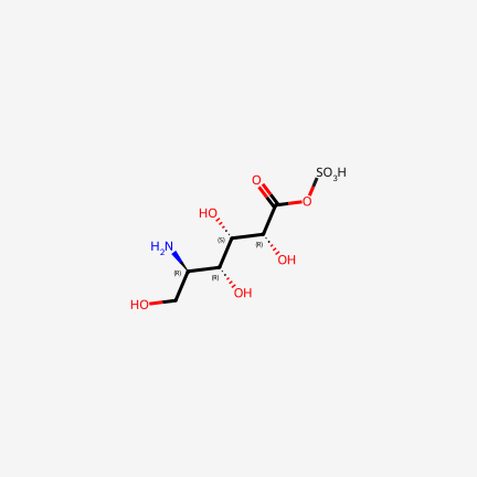 N[C@H](CO)[C@@H](O)[C@H](O)[C@@H](O)C(=O)OS(=O)(=O)O